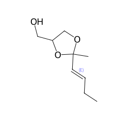 CC/C=C/C1(C)OCC(CO)O1